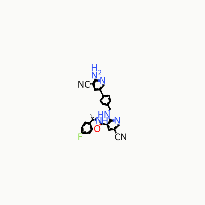 C[C@H](NC(=O)c1cc(C#N)cnc1NCc1ccc(-c2cnc(N)c(C#N)c2)cc1)c1ccc(F)cc1